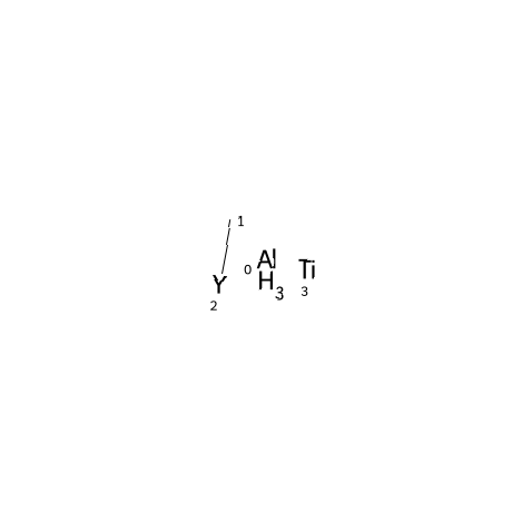 [AlH3].[CH3][Y].[Ti]